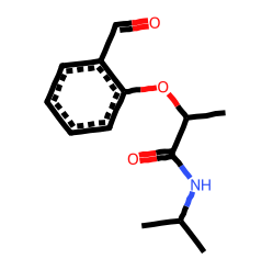 CC(C)NC(=O)C(C)Oc1ccccc1C=O